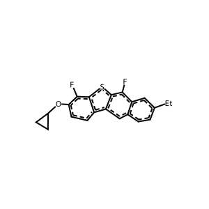 CCc1ccc2cc3c(sc4c(F)c(OC5CC5)ccc43)c(F)c2c1